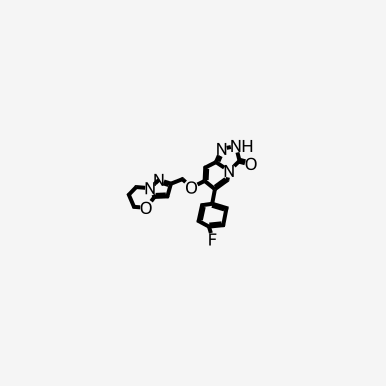 O=c1[nH]nc2cc(OCc3cc4n(n3)CCCO4)c(-c3ccc(F)cc3)cn12